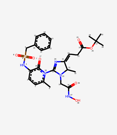 Cc1ccc(NS(=O)(=O)Cc2ccccc2)c(=O)n1C1=NC(=CCC(=O)OC(C)(C)C)C(C)N1CC(=O)NO